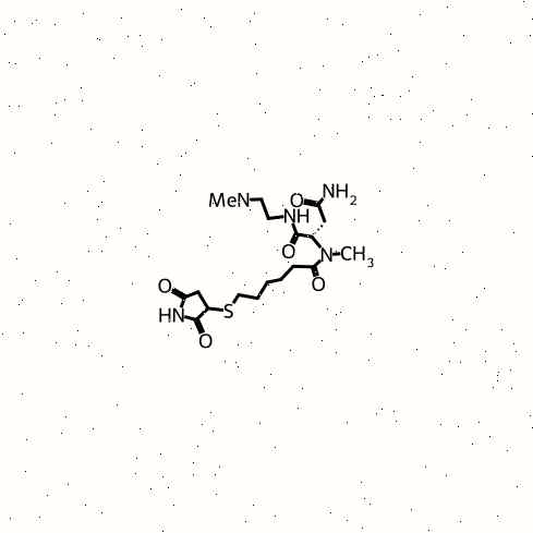 CNCCNC(=O)[C@H](CC(N)=O)N(C)C(=O)CCCCCSC1CC(=O)NC1=O